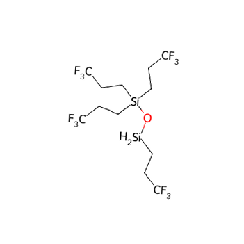 FC(F)(F)CC[SiH2]O[Si](CCC(F)(F)F)(CCC(F)(F)F)CCC(F)(F)F